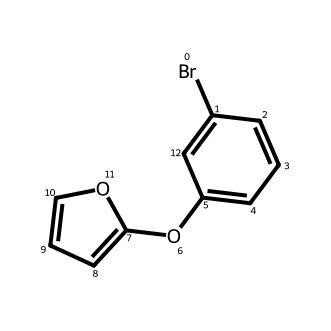 Brc1cccc(Oc2ccco2)c1